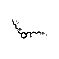 NCCCNCc1cccc(CNCCCN)c1